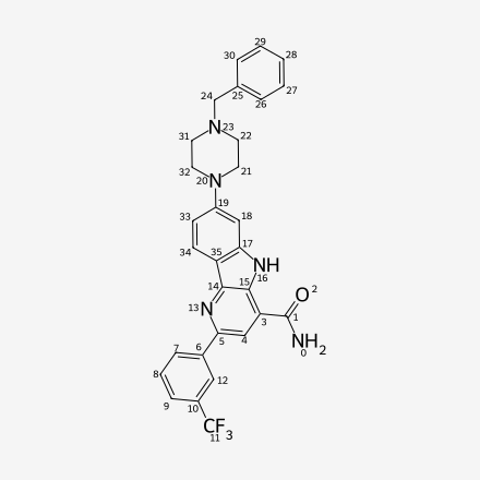 NC(=O)c1cc(-c2cccc(C(F)(F)F)c2)nc2c1[nH]c1cc(N3CCN(Cc4ccccc4)CC3)ccc12